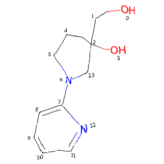 OCC1(O)CCN(c2ccccn2)C1